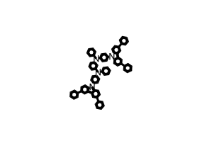 c1ccc(-c2ccc3c(c2)c2cc(-c4ccccc4)ccc2n3-c2ccc(N(c3ccccc3)c3cccc(N(c4ccccc4)c4ccc(-n5c6ccc(-c7ccccc7)cc6c6cc(-c7ccccc7)ccc65)cc4)c3)cc2)cc1